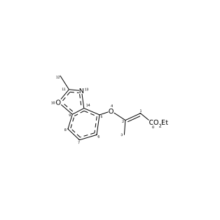 CCOC(=O)/C=C(\C)Oc1cccc2oc(C)nc12